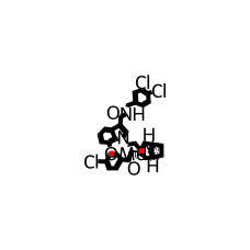 COc1cccc2c(C(=O)NCc3ccc(Cl)c(Cl)c3)cn(CCCN3[C@@H]4CC[C@H]3C[C@@H](CC(=O)c3ccc(Cl)cc3)C4)c12